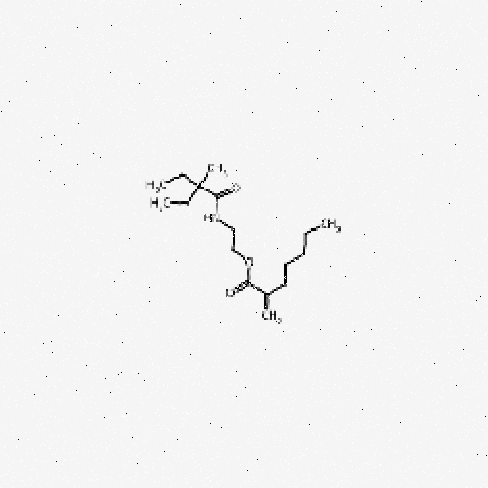 C=C(CCCCC)C(=O)OCCNC(=O)C(C)(CC)CC